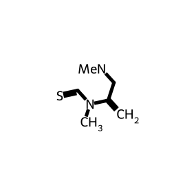 C=C(CNC)N(C)C=S